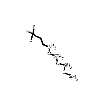 FC(F)(F)CC[SiH2]O[SiH2]O[SiH2]O[SiH3]